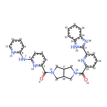 O=C(c1cccc(Nc2ccccn2)n1)N1CC2CN(C(=O)c3cccc(-c4nc5ccccc5[nH]4)n3)CC2C1